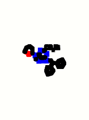 CCOC(=O)c1nc(NCC(c2ccccc2)c2ccccc2)c2ncn(C3CCCCO3)c2n1